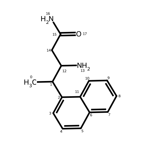 CC(c1cccc2ccccc12)C(N)CC(N)=O